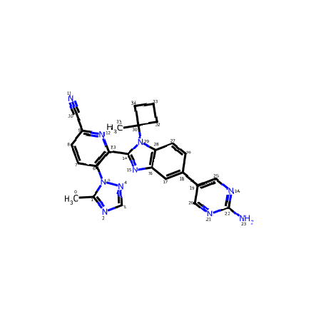 Cc1ncnn1-c1ccc(C#N)nc1-c1nc2cc(-c3cnc(N)nc3)ccc2n1C1(C)CCC1